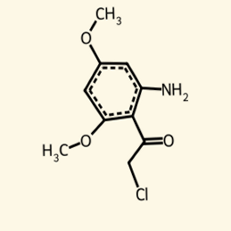 COc1cc(N)c(C(=O)CCl)c(OC)c1